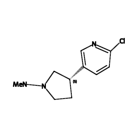 CNN1CC[C@@H](c2ccc(Cl)nc2)C1